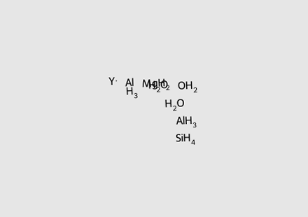 O.O.O.[AlH3].[AlH3].[MgH2].[SiH4].[Y]